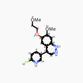 COCCOc1cc2c(-c3ccc(F)nc3)cnnc2cc1OC